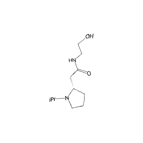 CC(C)N1CCC[C@H]1CC(=O)NCCO